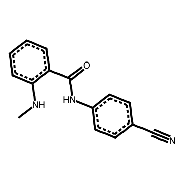 CNc1ccccc1C(=O)Nc1ccc(C#N)cc1